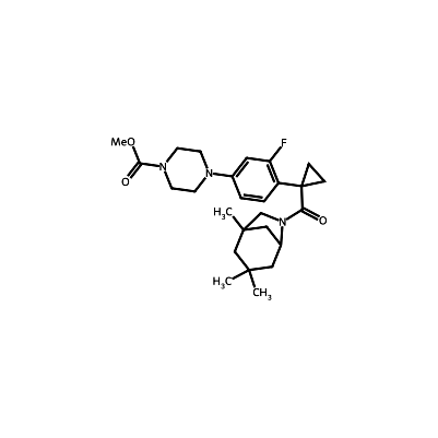 COC(=O)N1CCN(c2ccc(C3(C(=O)N4CC5(C)CC4CC(C)(C)C5)CC3)c(F)c2)CC1